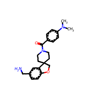 CN(C)c1ccc(C(=O)N2CCC3(CC2)COc2ccc(CN)cc23)cc1